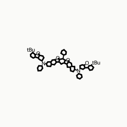 CC(C)(C)c1cccc2c1oc1ccc(N(c3ccccc3)c3ccc4cc5c(cc4c3)oc3c(-c4ccccc4)c4oc6cc7cc(N(c8ccccc8)c8ccc9oc%10c(C(C)(C)C)cccc%10c9c8)ccc7cc6c4cc35)cc12